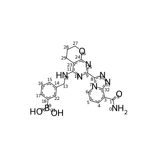 NC(=O)c1cccn2c(-c3nc(NCc4cccc(B(O)O)c4)c4c(n3)OCCC4)nnc12